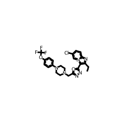 CCc1nc2ccc(Cl)cn2c1-c1nnc(CN2CCN(c3ccc(OC(F)(F)F)cc3)CC2)o1